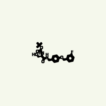 CC(C)(C)OC(=O)N[C@H](CO)C(=O)NCc1ccc(OCc2cccc(F)c2)cc1